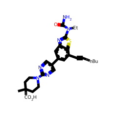 CCCCC#Cc1cc(-c2cnc(N3CCC(C)(C(=O)O)CC3)nc2)cc2nc(N(CC)C(N)=O)sc12